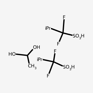 CC(C)C(F)(F)S(=O)(=O)O.CC(C)C(F)(F)S(=O)(=O)O.CC(O)O